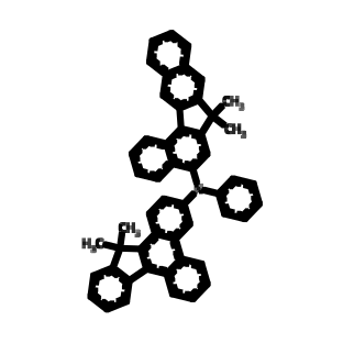 CC1(C)c2cc3ccccc3cc2-c2c1cc(N(c1ccccc1)c1ccc3c4c(c5ccccc5c3c1)-c1ccccc1C4(C)C)c1ccccc21